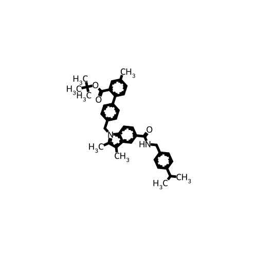 Cc1ccc(-c2ccc(Cn3c(C)c(C)c4cc(C(=O)NCc5ccc(C(C)C)cc5)ccc43)cc2)c(C(=O)OC(C)(C)C)c1